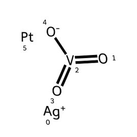 [Ag+].[O]=[V](=[O])[O-].[Pt]